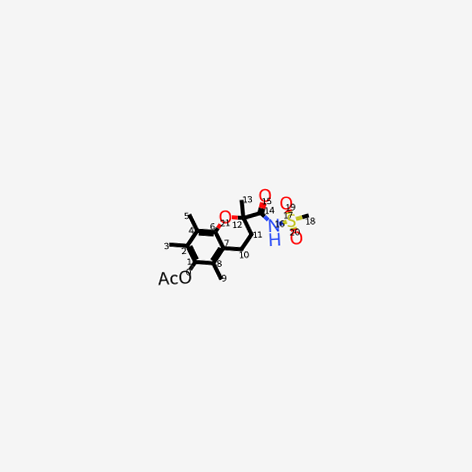 CC(=O)Oc1c(C)c(C)c2c(c1C)CCC(C)(C(=O)NS(C)(=O)=O)O2